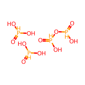 O=[PH](O)O.O=[PH](O)O.O=[PH](O)O[PH](=O)O